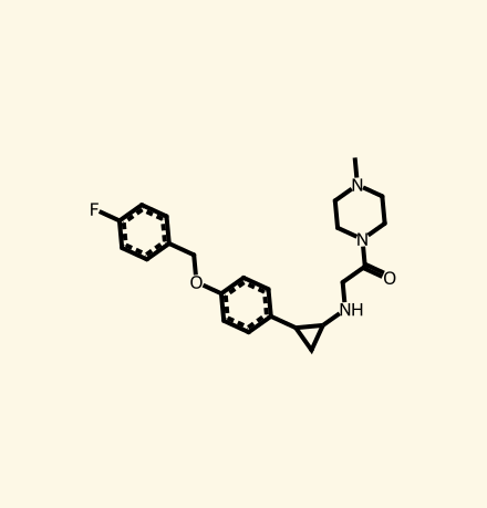 CN1CCN(C(=O)CNC2CC2c2ccc(OCc3ccc(F)cc3)cc2)CC1